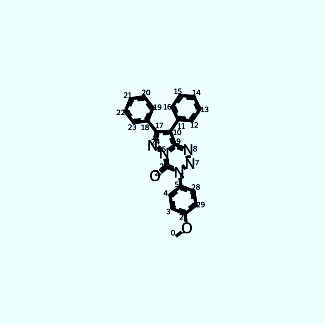 COc1ccc(-n2nnc3c(-c4ccccc4)c(-c4ccccc4)nn3c2=O)cc1